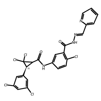 O=C(NN=Cc1ccccn1)c1cc(NC(=O)C2[C@@H](c3cc(Cl)cc(Cl)c3)C2(Cl)Cl)ccc1Cl